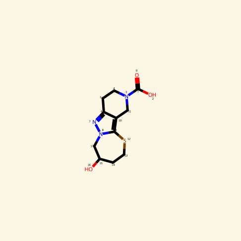 O=C(O)N1CCc2nn3c(c2C1)SCCC(O)C3